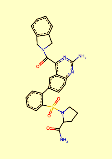 NC(=O)C1CCCN1S(=O)(=O)c1ccccc1-c1ccc2nc(N)nc(C(=O)N3Cc4ccccc4C3)c2c1